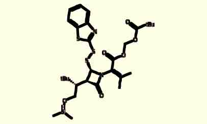 CC(C)=C(C(=O)OCOC(=O)C(C)(C)C)N1C(=O)[C@@H]([C@H](CO[SiH](C)C)C(C)(C)C)[C@H]1SSc1nc2ccccc2s1